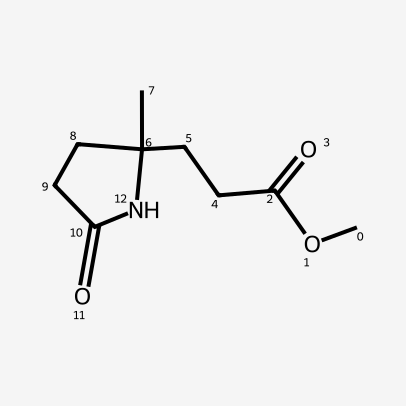 COC(=O)CCC1(C)CCC(=O)N1